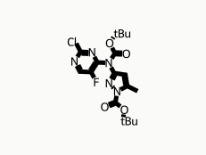 Cc1cc(N(C(=O)OC(C)(C)C)c2nc(Cl)ncc2F)nn1C(=O)OC(C)(C)C